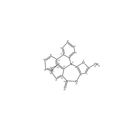 Cc1cc2c(o1)N(c1ccccc1-c1ccccc1)c1ccccc1C(=O)O2